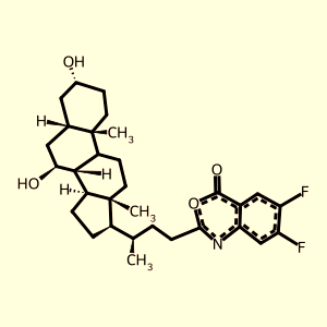 C[C@H](CCc1nc2cc(F)c(F)cc2c(=O)o1)[C@H]1CC[C@H]2[C@H]3C(CC[C@]12C)[C@@]1(C)CC[C@@H](O)C[C@H]1C[C@@H]3O